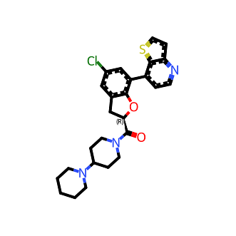 O=C([C@H]1Cc2cc(Cl)cc(-c3ccnc4ccsc34)c2O1)N1CCC(N2CCCCC2)CC1